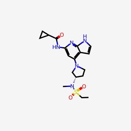 CCS(=O)(=O)N(C)[C@H]1CCN(c2cc(NC(=O)C3CC3)nc3[nH]ccc23)C1